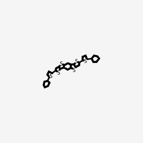 c1ccc(-c2ccc(-c3cc4sc5cc6c(cc5c4s3)sc3cc(-c4ccc(-c5ccccc5)s4)sc36)s2)cc1